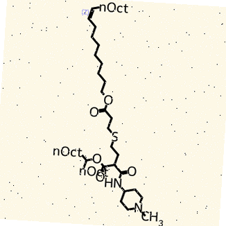 CCCCCCCC/C=C\CCCCCCCCOC(=O)CCSCCC(C(=O)NC1CCN(C)CC1)C(=O)OC(CCCCCCCC)CCCCCCCC